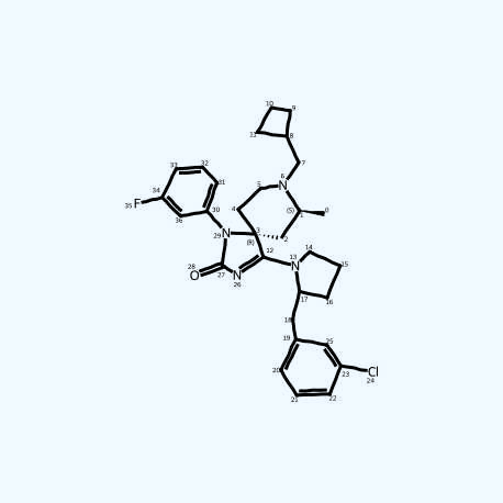 C[C@H]1C[C@]2(CCN1CC1CCC1)C(N1CCCC1Cc1cccc(Cl)c1)=NC(=O)N2c1cccc(F)c1